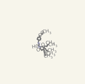 COCOC1=CC(=O)/C(=C(O)/C=C/c2ccc(OCOC)cc2)C(=O)C1(CC=C(C)C)CC=C(C)C